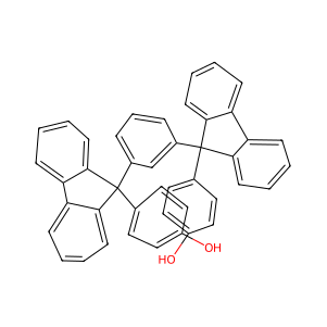 Oc1ccc(C2(c3cccc(C4(c5ccc(O)cc5)c5ccccc5-c5ccccc54)c3)c3ccccc3-c3ccccc32)cc1